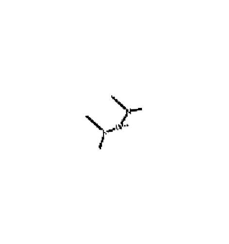 C[N](C)[W+2][N](C)C